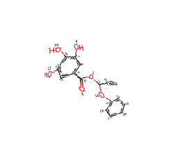 CCCCC(OC(=O)c1cc(O)c(O)c(O)c1)Oc1ccccc1